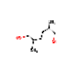 CC(CO)CCC(C)CO